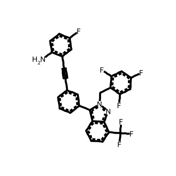 Nc1ccc(F)cc1C#Cc1cccc(-c2c3cccc(C(F)(F)F)c3nn2Cc2c(F)cc(F)cc2F)c1